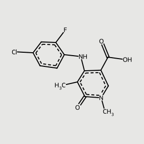 Cc1c(Nc2ccc(Cl)cc2F)c(C(=O)O)cn(C)c1=O